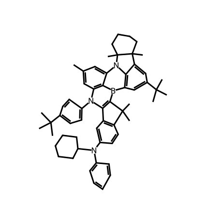 Cc1cc2c3c(c1)N1c4c(cc(C(C)(C)C)cc4C4(C)CCCCC14C)B3C1=C(c3cc(N(c4ccccc4)C4CCCCC4)ccc3C1(C)C)N2c1ccc(C(C)(C)C)cc1